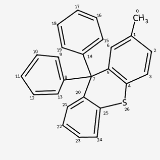 Cc1ccc2c(c1)C(c1ccccc1)(c1ccccc1)c1ccccc1S2